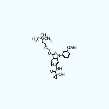 COc1cccc(-n2nc(OCOCC[Si](C)(C)C)c3cnc(NC(=O)C4(O)CC4)cc32)c1